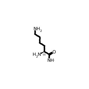 [NH]C(=O)[C@@H](N)CCCCN